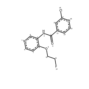 O=C(Nc1cnccc1OCCF)c1ccnc(Cl)c1